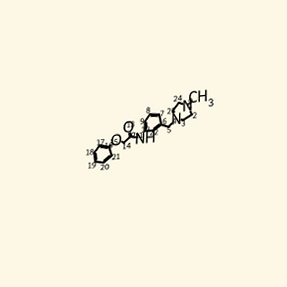 CN1CCN(Cc2cccc(NC(=O)COc3ccccc3)c2)CC1